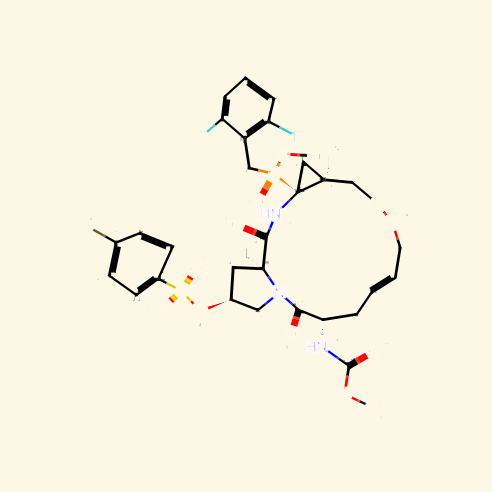 CCOP(=O)(Cc1c(F)cccc1F)[C@@]12C[C@H]1CCOC/C=C/C[C@H](NC(=O)OC(C)(C)C)C(=O)N1C[C@@H](OS(=O)(=O)c3ccc(Br)cc3)C[C@H]1C(=O)N2